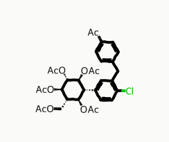 CC(=O)OC[C@@H]1[C@@H](OC(C)=O)[C@H](OC(C)=O)[C@@H](OC(C)=O)[C@H](c2ccc(Cl)c(Cc3ccc(C(C)=O)cc3)c2)[C@H]1OC(C)=O